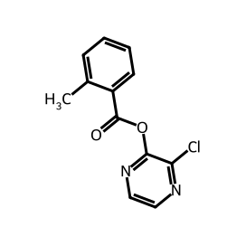 Cc1ccccc1C(=O)Oc1nccnc1Cl